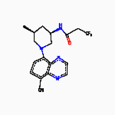 C[C@H]1C[C@@H](NC(=O)CC(F)(F)F)CN(c2ccc(C#N)c3nccnc23)C1